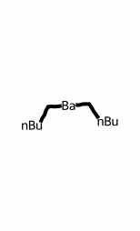 CCCC[CH2][Ba][CH2]CCCC